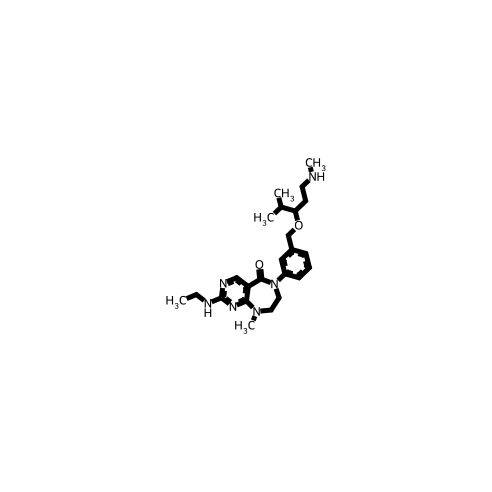 CCNc1ncc2c(n1)N(C)CCN(c1cccc(COC(CCNC)C(C)C)c1)C2=O